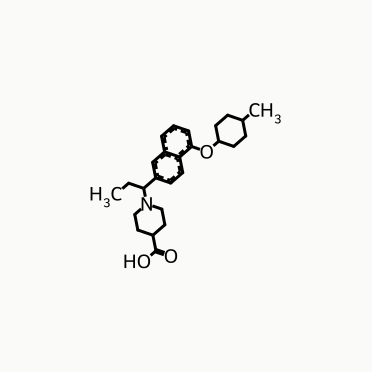 CCC(c1ccc2c(OC3CCC(C)CC3)cccc2c1)N1CCC(C(=O)O)CC1